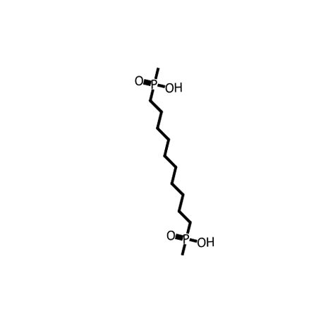 CP(=O)(O)CCCCCCCCCCP(C)(=O)O